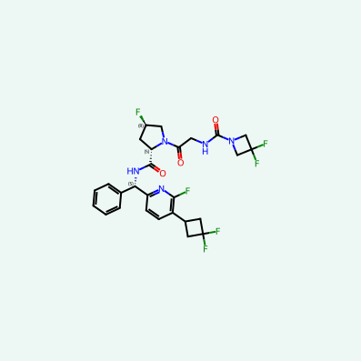 O=C(N[C@@H](c1ccccc1)c1ccc(C2CC(F)(F)C2)c(F)n1)[C@@H]1C[C@@H](F)CN1C(=O)CNC(=O)N1CC(F)(F)C1